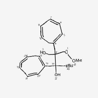 COOC(O)(c1ccccc1)C(O)(c1ccccc1)C(C)(C)C